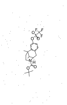 CC1[C@H]2Cc3ccc(OS(=O)(=O)C(F)(F)F)cc3C1(C)CCN2C(=O)OC(C)(C)C